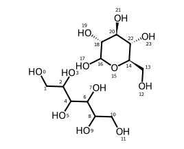 OCC(O)C(O)C(O)C(O)CO.OC[C@H]1OC(O)[C@H](O)[C@@H](O)[C@@H]1O